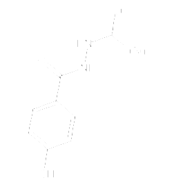 CCC(NNC(=O)c1ccc(C)cc1)C(C)(C)C